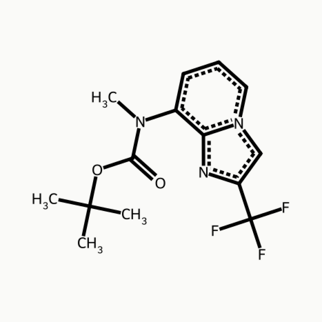 CN(C(=O)OC(C)(C)C)c1cccn2cc(C(F)(F)F)nc12